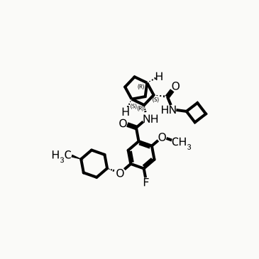 COc1cc(F)c(O[C@H]2CC[C@H](C)CC2)cc1C(=O)N[C@@H]1[C@H]2CC[C@H](C2)[C@@H]1C(=O)NC1CCC1